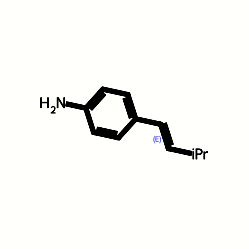 CC(C)/C=C/c1ccc(N)cc1